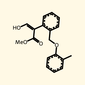 COC(=O)C(=CO)c1ccccc1COc1ccccc1C